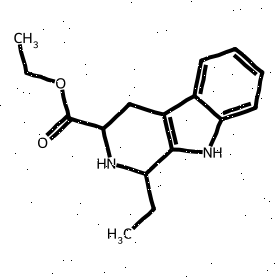 CCOC(=O)C1Cc2c([nH]c3ccccc23)C(CC)N1